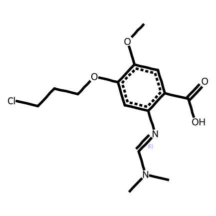 COc1cc(C(=O)O)c(/N=C/N(C)C)cc1OCCCCl